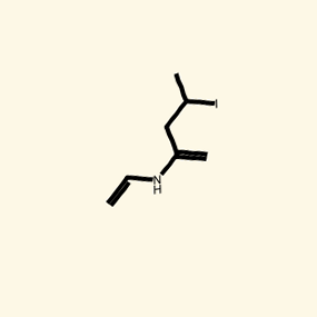 C=CNC(=C)CC(C)I